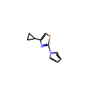 c1ccn(-c2nc(C3CC3)cs2)c1